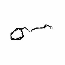 ClC=CCOCc1ccccc1